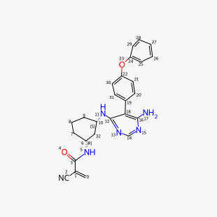 C=C(C#N)C(=O)N[C@@H]1CCC[C@H](Nc2ncnc(N)c2-c2ccc(Oc3ccccc3)cc2)C1